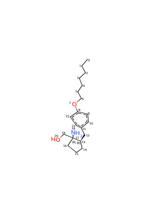 CCCCCCCOc1ccc(C[C@H]2CCC[C@]2(N)CO)cc1